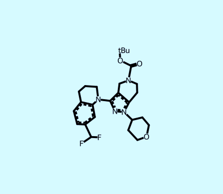 CC(C)(C)OC(=O)N1CCc2c(c(N3CCCc4ccc(C(F)F)cc43)nn2C2CCOCC2)C1